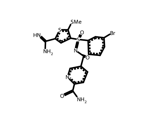 CSc1sc(C(=N)N)cc1S(=O)(=NC(=O)c1ccc(C(N)=O)nc1)c1cccc(Br)c1